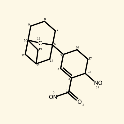 O=NC(=O)C1=CC(C23CCCC4(CC(C4)C2)C3)CCC1N=O